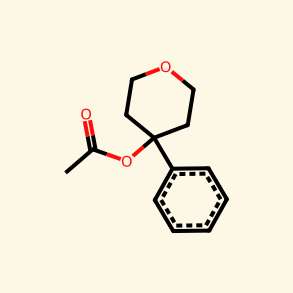 CC(=O)OC1(c2ccccc2)CCOCC1